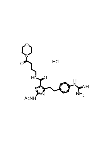 CC(=O)Nc1nc(CCc2ccc(NC(=N)N)cc2)c(C(=O)NCCCC(=O)N2CCOCC2)s1.Cl